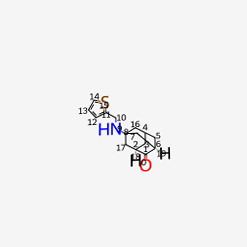 O=C1[C@@H]2CC3C[C@@H]1CC(NCc1cccs1)(C3)C2